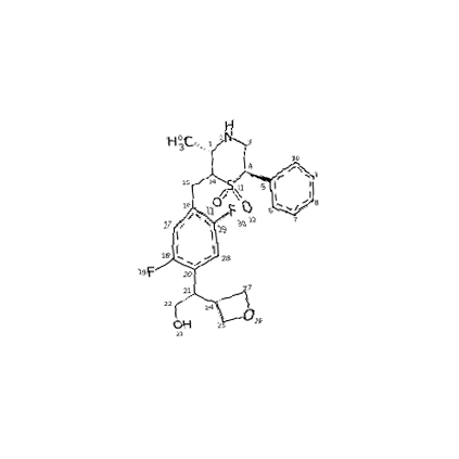 C[C@@H]1NC[C@@H](c2ccccc2)S(=O)(=O)C1Cc1cc(F)c(C(CO)C2COC2)cc1F